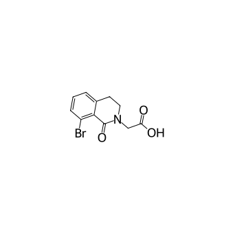 O=C(O)CN1CCc2cccc(Br)c2C1=O